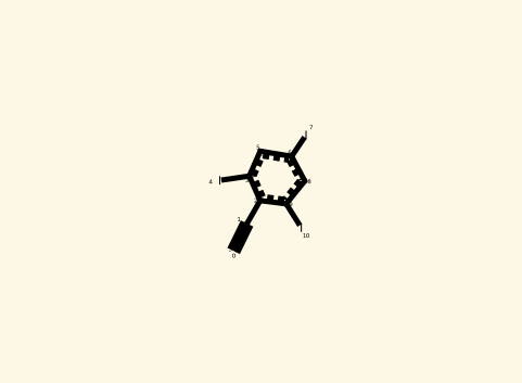 [C]#Cc1c(I)cc(I)cc1I